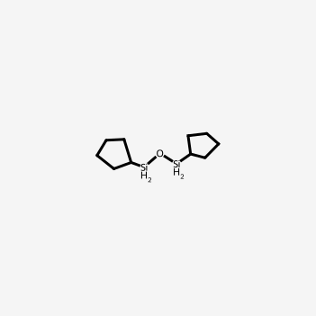 C1CCC([SiH2]O[SiH2]C2CCCC2)C1